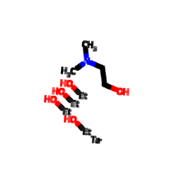 CCO.CCO.CCO.CCO.CN(C)CCO.[Ta]